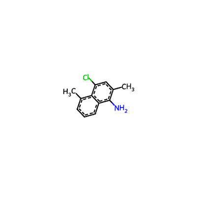 Cc1cc(Cl)c2c(C)cccc2c1N